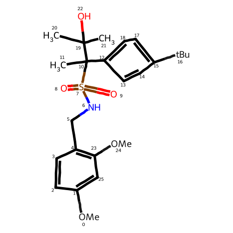 COc1ccc(CNS(=O)(=O)C(C)(c2ccc(C(C)(C)C)cc2)C(C)(C)O)c(OC)c1